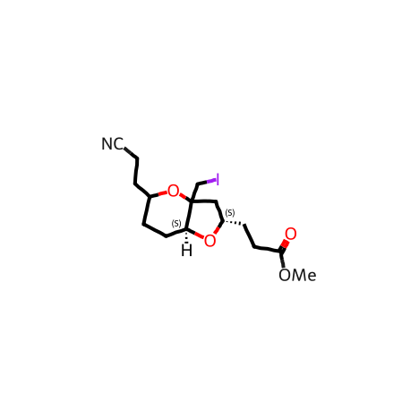 COC(=O)CC[C@H]1CC2(CI)OC(CCC#N)CC[C@@H]2O1